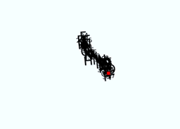 C=C([C@@H]1C(=O)N2CCCc3nc(NCc4ccc(Oc5cnc(C(F)(F)F)nc5)nc4)nc(c32)N1C)C(F)(F)F